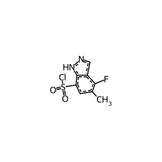 Cc1cc(S(=O)(=O)Cl)c2[nH]ncc2c1F